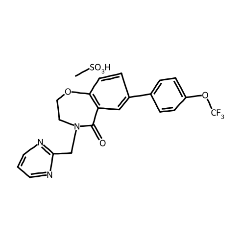 CS(=O)(=O)O.O=C1c2cc(-c3ccc(OC(F)(F)F)cc3)ccc2OCCN1Cc1ncccn1